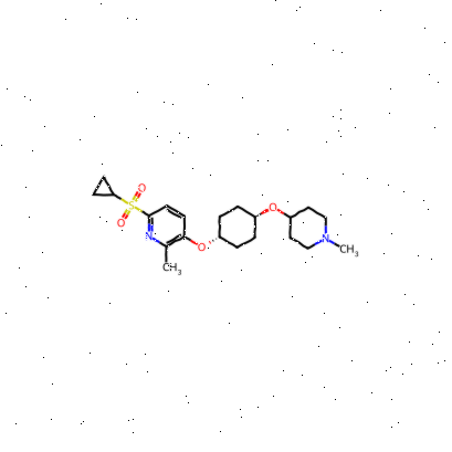 Cc1nc(S(=O)(=O)C2CC2)ccc1O[C@H]1CC[C@H](OC2CCN(C)CC2)CC1